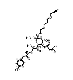 C#CCOCCCCCCO[C@]1(C(=O)O)C[C@H](O)[C@@H](NC(=O)CN(C)C)[C@H]([C@H](O)[C@H](O)CNC(=O)Cc2ccc(Cl)cc2)O1